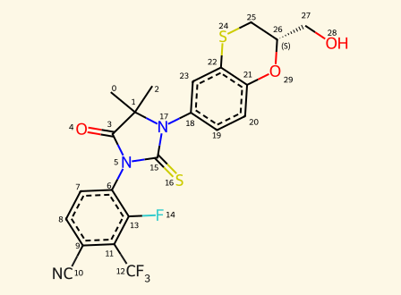 CC1(C)C(=O)N(c2ccc(C#N)c(C(F)(F)F)c2F)C(=S)N1c1ccc2c(c1)SC[C@H](CO)O2